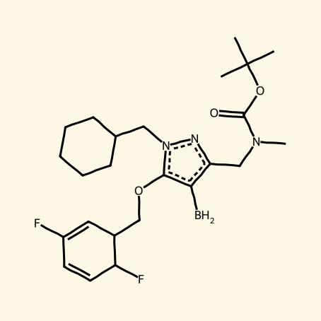 Bc1c(CN(C)C(=O)OC(C)(C)C)nn(CC2CCCCC2)c1OCC1C=C(F)C=CC1F